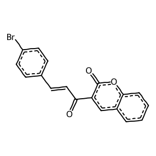 O=C(C=Cc1ccc(Br)cc1)c1cc2ccccc2oc1=O